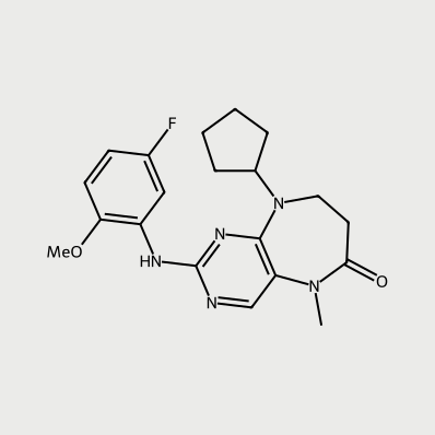 COc1ccc(F)cc1Nc1ncc2c(n1)N(C1CCCC1)CCC(=O)N2C